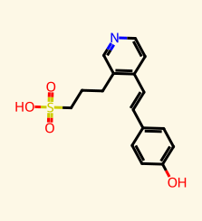 O=S(=O)(O)CCCc1cnccc1C=Cc1ccc(O)cc1